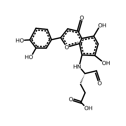 O=C[C@H](CCC(=O)O)Nc1c(O)cc(O)c2c(=O)cc(-c3ccc(O)c(O)c3)oc12